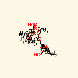 C=C1C[C@H](CC[C@@]23C[C@@H]4O[C@H]5[C@H](O[C@@H](CCCO)[C@H](O[Si](CC)(CC)CC)[C@H]5O2)[C@H]4O3)O[C@H]1CC[C@H]1C[C@@H](C)C(=C)[C@@H](C[C@@H]2O[C@H](C[C@@H](CO[Si](CC)(CC)CC)O[Si](CC)(CC)CC)[C@H](OC)[C@H]2CC(=O)CP(=O)(O)O)O1